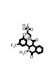 CN1C(=O)c2ccccc2C(C(=O)NCCS(C)(=O)=O)C1c1cc(C(F)(F)F)cc(C(F)(F)F)c1